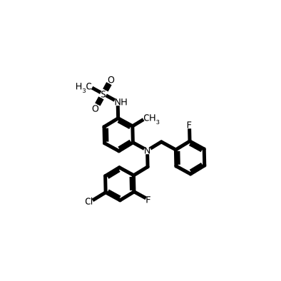 Cc1c(NS(C)(=O)=O)cccc1N(Cc1ccccc1F)Cc1ccc(Cl)cc1F